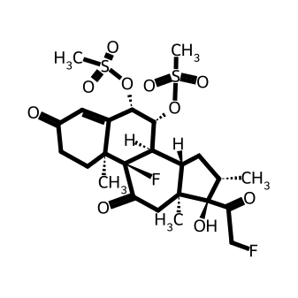 C[C@H]1C[C@H]2[C@@H]3[C@@H](OS(C)(=O)=O)[C@@H](OS(C)(=O)=O)C4=CC(=O)CC[C@]4(C)[C@@]3(F)C(=O)C[C@]2(C)[C@@]1(O)C(=O)CF